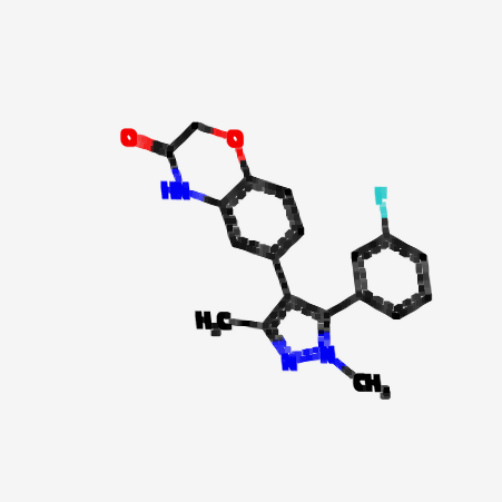 Cc1nn(C)c(-c2cccc(F)c2)c1-c1ccc2c(c1)NC(=O)CO2